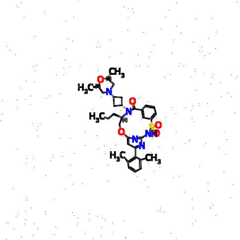 CCC[C@@H]1COc2cc(-c3c(C)cccc3C)nc(n2)NS(=O)(=O)c2cccc(c2)C(=O)N1[C@H]1C[C@@H](N2C[C@@H](C)O[C@H](C)C2)C1